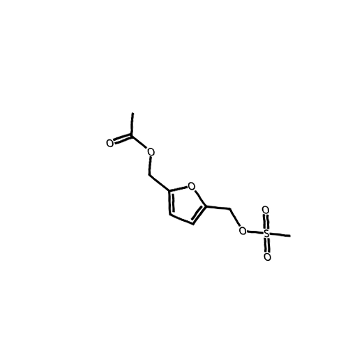 CC(=O)OCc1ccc(COS(C)(=O)=O)o1